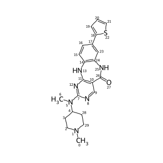 CN1CCC(N(C)c2ncc3c(n2)Nc2ccc(-c4cccs4)cc2NC3=O)CC1